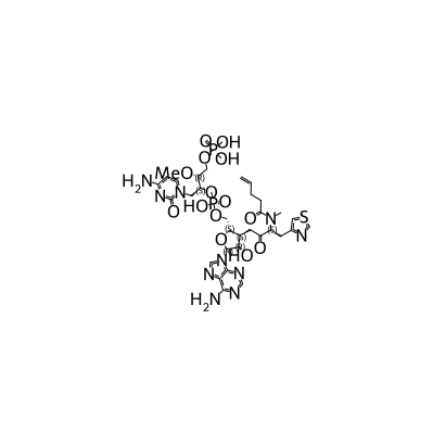 C=CCCC(=O)N(C)[C@@H](Cc1cscn1)C(=O)C[C@H]1[C@@H](O)[C@H](n2cnc3c(N)ncnc32)O[C@@H]1COP(=O)(O)O[C@@H](Cn1ccc(N)nc1=O)[C@@H](COP(=O)(O)O)OC